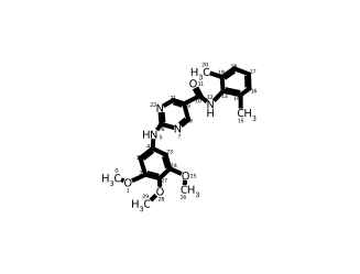 COc1cc(Nc2ncc(C(=O)Nc3c(C)cccc3C)cn2)cc(OC)c1OC